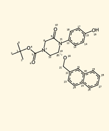 CC(C)(C)OC(=O)N1CC(=O)N(c2ccc(O)cc2)[C@H](OCc2ccc3ccccc3c2)C1